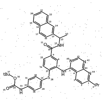 CC(C)c1ccc2c(Nc3cc(C(=O)NC(C)c4ccc5ccccc5c4)ccc3Sc3ccc(NC(=O)OC(C)(C)C)cc3)ncnc2n1